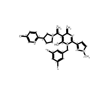 C=C1N=C(c2ccn(C)n2)N(Cc2cc(F)cc(F)c2)C(O)=C1C(=C)N1CCC(c2ccc(Cl)cn2)C1